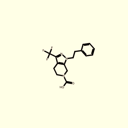 O=C(O)N1CCc2c(C(F)(F)F)nn(CCc3ccccc3)c2C1